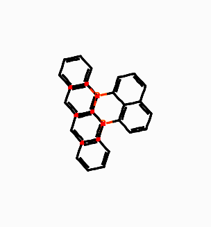 c1ccc(P(c2ccccc2)c2cccc3cccc(P(c4ccccc4)c4ccccc4)c23)cc1